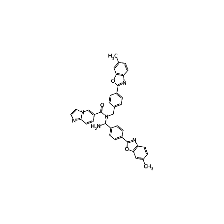 Cc1ccc2nc(-c3ccc(CN(C(=O)c4ccc5nccn5c4)C(N)c4ccc(-c5nc6ccc(C)cc6o5)cc4)cc3)oc2c1